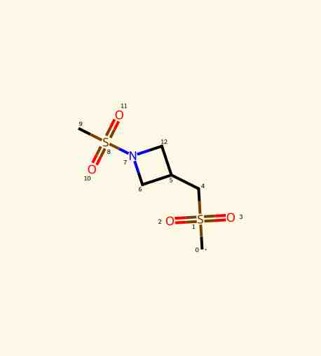 [CH2]S(=O)(=O)CC1CN(S(C)(=O)=O)C1